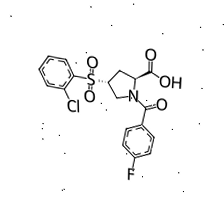 O=C(O)[C@@H]1C[C@@H](S(=O)(=O)c2ccccc2Cl)CN1C(=O)c1ccc(F)cc1